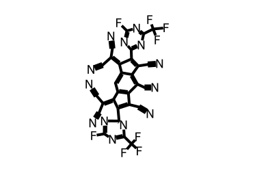 N#CC(C#N)=C1C(c2nc(F)nc(C(F)(F)F)n2)=C(C#N)c2c1cc1c(c2C#N)C(C#N)=C(c2nc(F)nc(C(F)(F)F)n2)C1=C(C#N)C#N